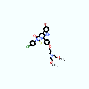 COCCN(CCCOc1ccc(C2c3[nH]c4ccc(Br)cc4c3CC3C(=O)N(c4ccc(Cl)cc4)C(S)N32)cc1)CCOC